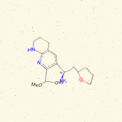 COC(OC)c1nc2c(cc1[C@H](N)CC1CCCO1)CCCN2